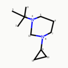 CC(C)(C)N1CCCN(C2CC2)C1